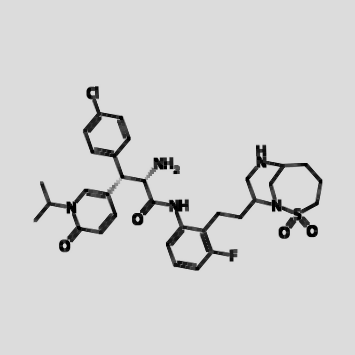 CC(C)n1cc([C@H](c2ccc(Cl)cc2)[C@H](N)C(=O)Nc2cccc(F)c2CCC2CNC3CCCS(=O)(=O)N2C3)ccc1=O